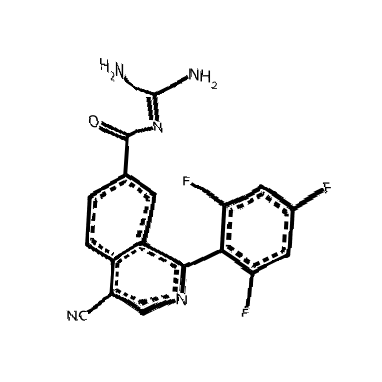 N#Cc1cnc(-c2c(F)cc(F)cc2F)c2cc(C(=O)N=C(N)N)ccc12